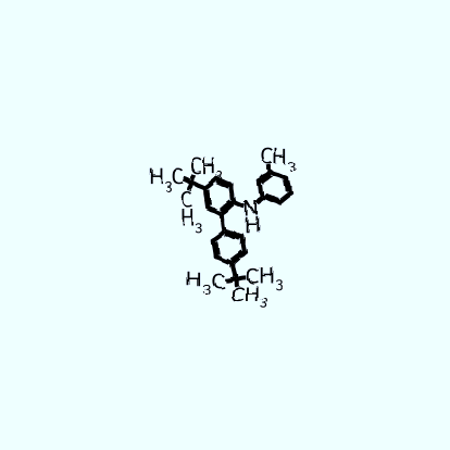 Cc1cccc(Nc2ccc(C(C)(C)C)cc2-c2ccc(C(C)(C)C)cc2)c1